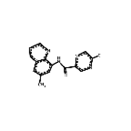 Cc1cc(NC(=O)c2cnc(Cl)cn2)c2ncccc2c1